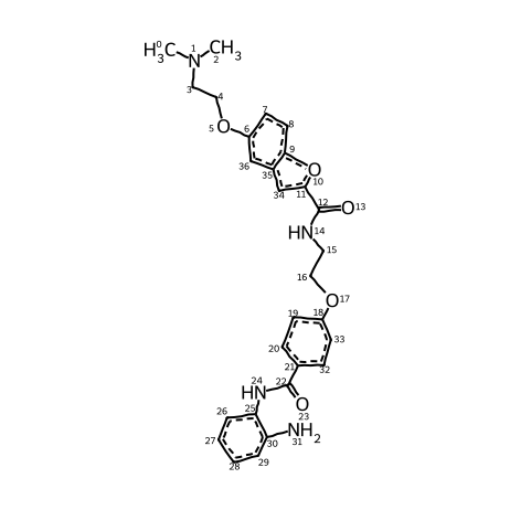 CN(C)CCOc1ccc2oc(C(=O)NCCOc3ccc(C(=O)Nc4ccccc4N)cc3)cc2c1